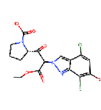 CCOC(=O)C(C(=O)[C@@H]1CCCN1C(=O)O)n1cc2c(Cl)cc(Br)c(Cl)c2n1